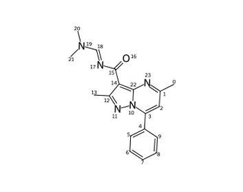 Cc1cc(-c2ccccc2)n2nc(C)c(C(=O)/N=C/N(C)C)c2n1